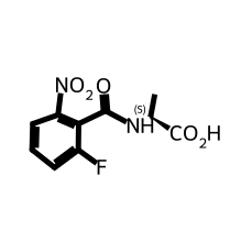 C[C@H](NC(=O)c1c(F)cccc1[N+](=O)[O-])C(=O)O